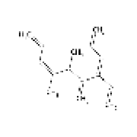 C=C/C=C(/C=C)C(=C)C(C)/C(C)=C\C=C